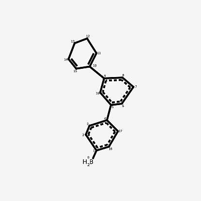 Bc1ccc(-c2cccc(C3=CCCC=C3)c2)cc1